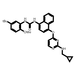 COc1ccc(C(C)(C)C)cc1NC(=O)Nc1ccc(Oc2ccnc(NCC3CC3)n2)c2ccccc12